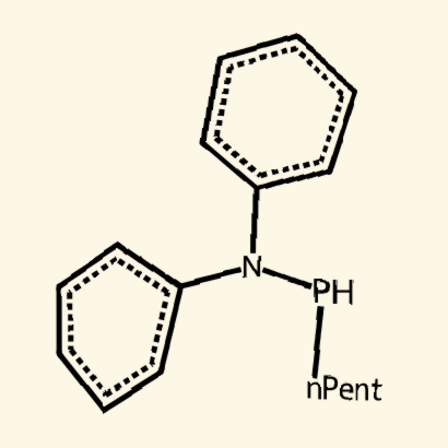 CCCCCPN(c1ccccc1)c1ccccc1